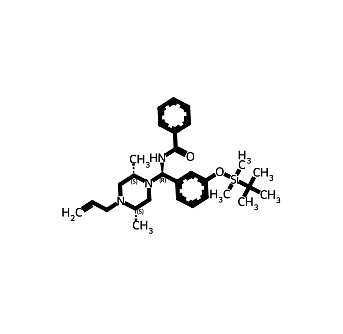 C=CCN1C[C@H](C)N([C@@H](NC(=O)c2ccccc2)c2cccc(O[Si](C)(C)C(C)(C)C)c2)C[C@@H]1C